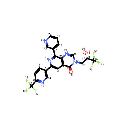 O=c1c2cc(-c3ccc(C(F)(F)F)nc3)nc(-c3cccnc3)c2ncn1C[C@H](O)C(F)(F)F